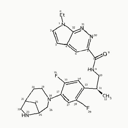 CCn1ccc2cc(C(=O)NC[C@@H](C)c3cc(F)c(N4CCC5CNC(C5)C4)cc3F)nnc21